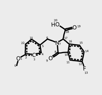 COc1ccc(CN2C(=O)c3cc(F)ccc3C2C(=O)O)cc1